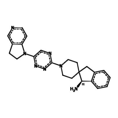 N[C@@H]1c2ccccc2CC12CCN(c1ncc(N3CCc4cnccc43)nn1)CC2